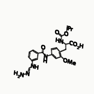 COc1cc(NC(=O)c2cccc(NC=NN)c2)ccc1CC(NC(=O)OC(C)C)C(=O)O